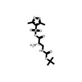 Cc1noc(C)c1S(=O)(=O)OC(=O)[C@@H](N)CNC(=O)OC(C)(C)C